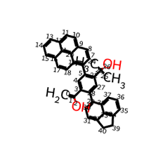 C=C(O)c1cc(-c2ccc3ccc4cccc5ccc2c3c45)c(C(C)(C)O)cc1-c1ccc2c3c(cccc13)CC2